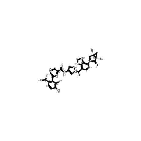 C[C@H](c1cnc(N2C[C@H]3C[C@H]3C2=O)c2c1OCO2)n1cc(NC(=O)c2cncc(-c3c(C(F)F)ccc(Cl)c3F)n2)cn1